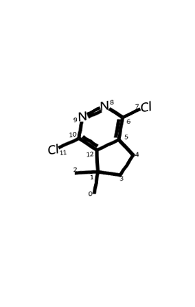 CC1(C)CCc2c(Cl)nnc(Cl)c21